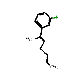 CCCCCC(C)c1cccc(F)c1